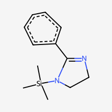 C[Si](C)(C)N1CCN=C1c1ccccc1